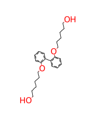 OCCCCCCOc1ccccc1-c1ccccc1OCCCCCCO